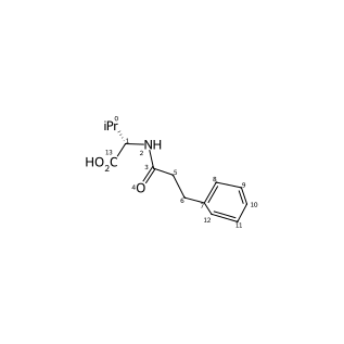 CC(C)[C@H](NC(=O)CCc1ccccc1)C(=O)O